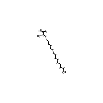 N[C@@H](CSCCCCCCCCCCCCCO)C(=O)O